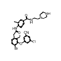 Cc1cc(C(=O)NCCN2CCNCC2)ccc1NC(=O)Cc1ccc(Br)c(Oc2cc(Cl)cc(C#N)c2)c1F